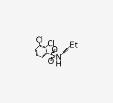 CCC#CNS(=O)(=O)c1cccc(Cl)c1Cl